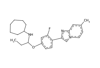 CCC(NC1CCCCCC1)Oc1ccc(-c2cn3ccc(C)cc3n2)c(F)c1